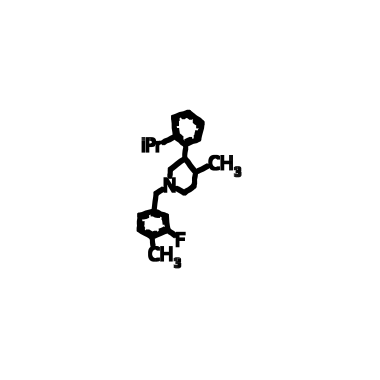 Cc1ccc(CN2CCC(C)C(c3ccccc3C(C)C)C2)cc1F